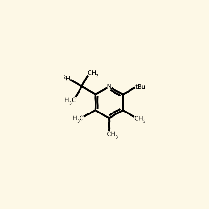 [2H]C(C)(C)c1nc(C(C)(C)C)c(C)c(C)c1C